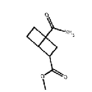 COC(=O)C1CC2(C(N)=O)CCC12